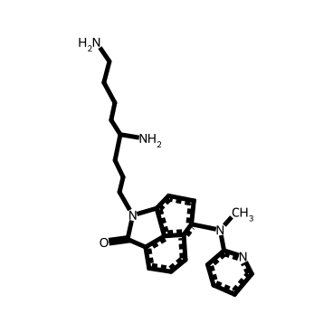 CN(c1ccccn1)c1ccc2c3c(cccc13)C(=O)N2CCCC(N)CCCCN